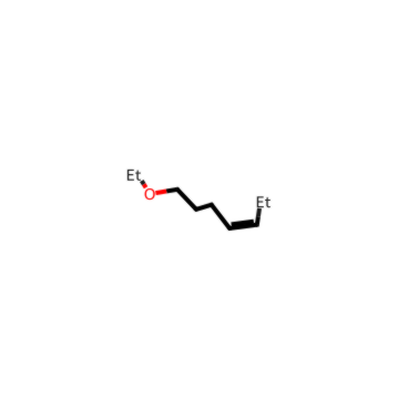 CC/C=C\CCCOCC